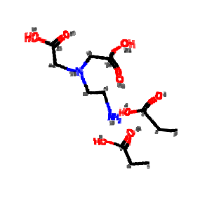 CCC(=O)O.CCC(=O)O.NCCN(CC(=O)O)CC(=O)O